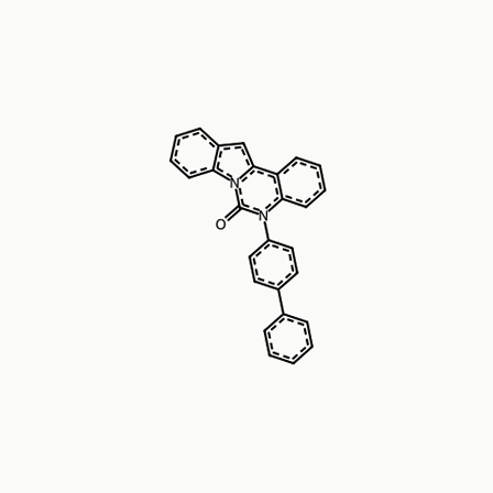 O=c1n(-c2ccc(-c3ccccc3)cc2)c2ccccc2c2cc3ccccc3n12